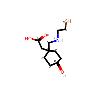 O=C(O)CC1(CNCCS)CCC(=O)CC1